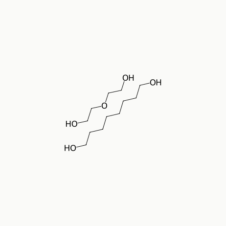 OCCCCCCCCO.OCCOCCO